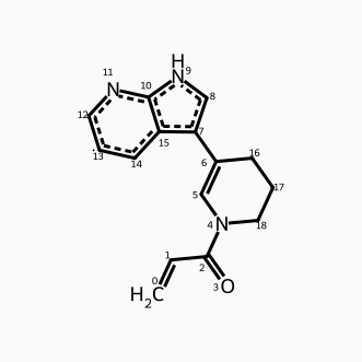 C=CC(=O)N1C=C(c2c[nH]c3nc[c]cc23)CCC1